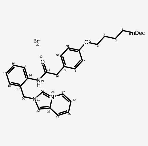 CCCCCCCCCCCCCCOc1ccc(CC(=O)Nc2ccccc2Cn2cc3cccc[n+]3c2)cc1.[Br-]